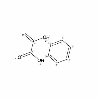 C=C(O)C(=O)O.c1ccccc1